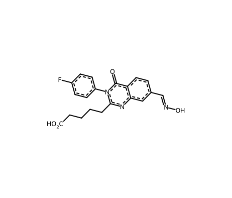 O=C(O)CCCCc1nc2cc(C=NO)ccc2c(=O)n1-c1ccc(F)cc1